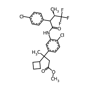 COC(=O)CC(C)(c1ccc(Cl)c(NC(=O)C(c2ccc(Cl)cc2)[C@@H](C)C(F)(F)F)c1)C1CCC1